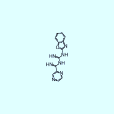 N=C(NC(=N)c1cnccn1)Nc1nc2ccccc2o1